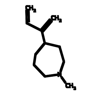 C=CC(=C)C1CCCN(C)CC1